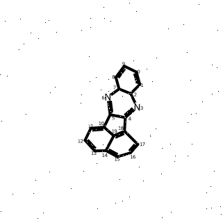 C1=CC2N=C3C(=NC2C=C1)c1cccc2cccc3c12